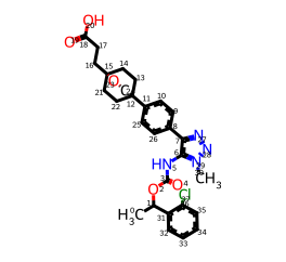 CC(OC(=O)Nc1c(-c2ccc(C34CCC(CCC(=O)O)(CC3)OC4)cc2)nnn1C)c1ccccc1Cl